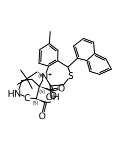 CC(=O)[C@H]1CNCC[C@]1(C(=O)O)[N@+]1(CC(C)(C)C)C(=O)CSC(c2cccc3ccccc23)c2cc(C)ccc21